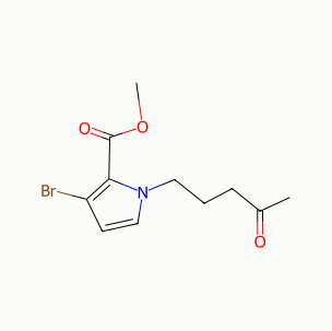 COC(=O)c1c(Br)ccn1CCCC(C)=O